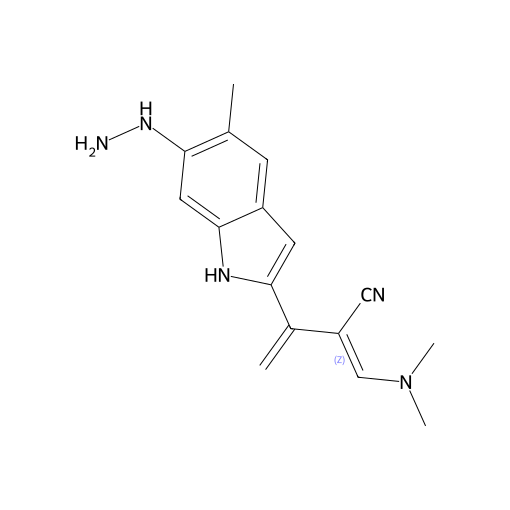 C=C(/C(C#N)=C/N(C)C)c1cc2cc(C)c(NN)cc2[nH]1